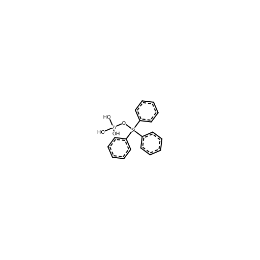 [OH][Zr]([OH])([OH])[O][Si](c1ccccc1)(c1ccccc1)c1ccccc1